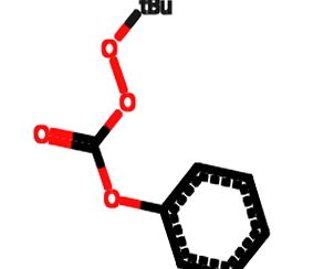 CC(C)(C)OOC(=O)Oc1ccccc1